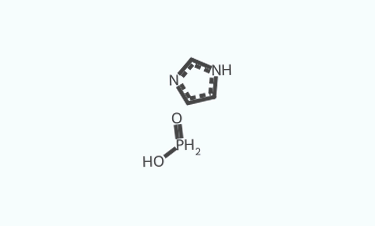 O=[PH2]O.c1c[nH]cn1